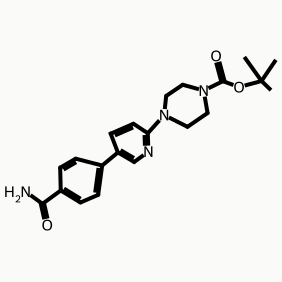 CC(C)(C)OC(=O)N1CCN(c2ccc(-c3ccc(C(N)=O)cc3)cn2)CC1